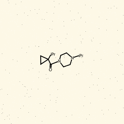 CC(C)N1CCN(C(=O)C2(C(C)C)CC2)CC1